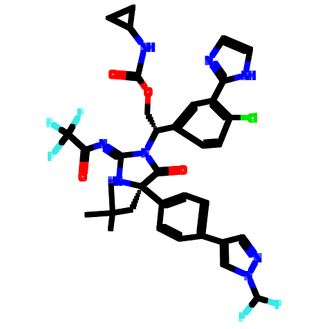 CC(C)(C)C[C@]1(c2ccc(-c3cnn(C(F)F)c3)cc2)N/C(=N\C(=O)C(F)(F)F)N([C@H](COC(=O)NC2CC2)c2ccc(Cl)c(-c3ncc[nH]3)c2)C1=O